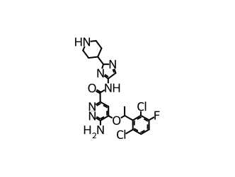 CC(Oc1cc(C(=O)NC2=NC(C3CCNCC3)N=C2)nnc1N)c1c(Cl)ccc(F)c1Cl